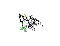 CC1=Cc2sc3cccc(Cl)c3c2[CH]1[Zr]([CH3])([CH3])(=[SiH2])[NH]C(C)(C)C.Cl.Cl